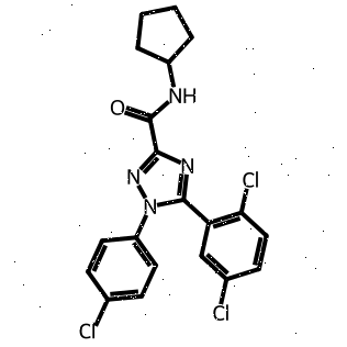 O=C(NC1CCCC1)c1nc(-c2cc(Cl)ccc2Cl)n(-c2ccc(Cl)cc2)n1